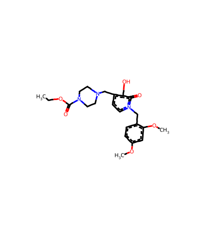 CCOC(=O)N1CCN(Cc2ccn(Cc3ccc(OC)cc3OC)c(=O)c2O)CC1